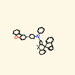 CC1(C)c2ccccc2C2(c3ccccc3-c3ccccc32)c2ccc(N(c3ccccc3)c3ccc(-c4ccc5oc6ccccc6c5c4)cc3)cc21